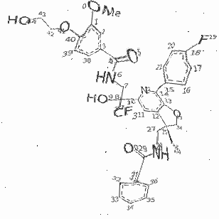 COc1cc(C(=O)NCC(O)(c2cc3c(c(-c4ccc(F)cc4)n2)OC[C@]3(C)CNC(=O)c2ccccc2)C(F)(F)F)ccc1OCCO